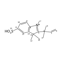 C=CC(C)(C)C1=[N+](C)c2ccc(S(=O)(=O)O)cc2C1(C)C